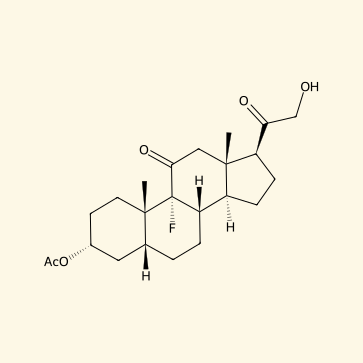 CC(=O)O[C@@H]1CC[C@@]2(C)[C@H](CC[C@H]3[C@@H]4CC[C@H](C(=O)CO)[C@@]4(C)CC(=O)[C@@]32F)C1